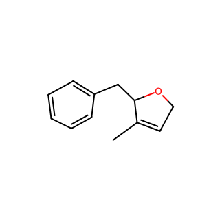 CC1=CCOC1Cc1ccccc1